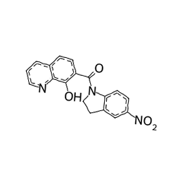 O=C(c1ccc2cccnc2c1O)N1CCc2cc([N+](=O)[O-])ccc21